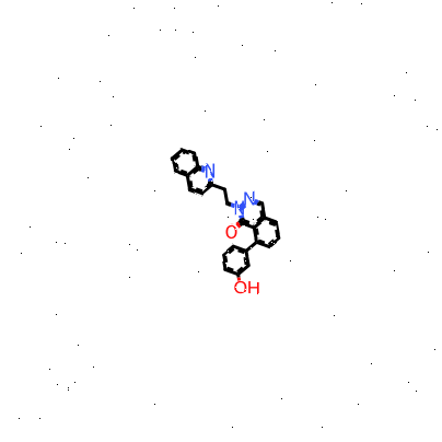 O=c1c2c(-c3cccc(O)c3)cccc2cnn1CCc1ccc2ccccc2n1